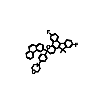 CC1(C)c2cc(F)ccc2-c2c1c1c(c3cc(F)ccc23)OC(c2ccc(N3CCOCC3)cc2)(c2ccc3ccc4ccccc4c3c2)C=C1